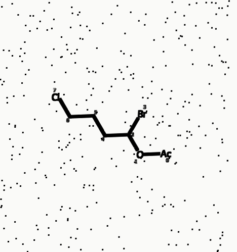 CC(=O)OC(Br)CCCCl